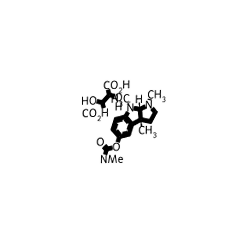 CNC(=O)Oc1ccc2c(c1)[C@]1(C)CCN(C)[C@@H]1N2C.O=C(O)C(O)C(O)C(=O)O